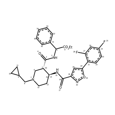 CCOC(=O)C(NC(=O)[C@H]1CN(CC2CC2)CC[C@@H]1NC(=O)c1cc(-c2ccc(F)cc2F)on1)c1ccccc1